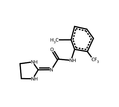 Cc1cccc(C(F)(F)F)c1NC(=O)N=C1NCCN1